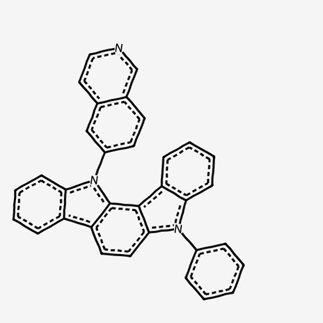 c1ccc(-n2c3ccccc3c3c2ccc2c4ccccc4n(-c4ccc5cnccc5c4)c23)cc1